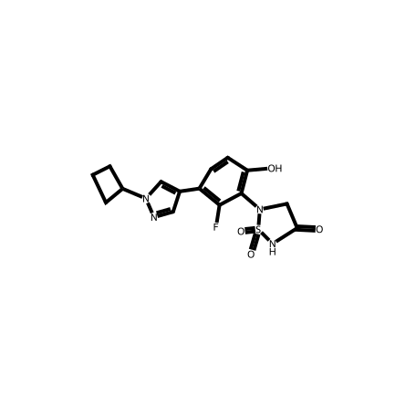 O=C1CN(c2c(O)ccc(-c3cnn(C4CCC4)c3)c2F)S(=O)(=O)N1